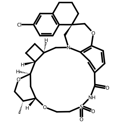 C[C@@H]1CO[C@@H]2C[C@@H]1OCCS(=O)(=O)NC(=O)c1ccc3c(c1)N(C[C@@H]1CC[C@H]12)C[C@@]1(CCCc2cc(Cl)ccc21)CO3